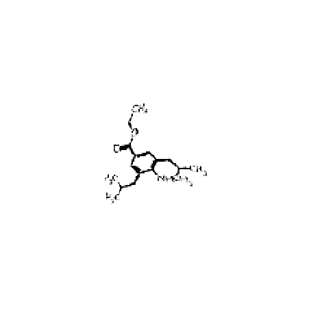 CCOC(=O)c1cc(CC(C)C)c([NH])c(CC(C)C)c1